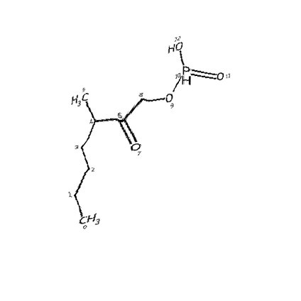 CCCCC(C)C(=O)CO[PH](=O)O